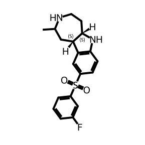 CC1C[C@H]2c3cc(S(=O)(=O)c4cccc(F)c4)ccc3N[C@H]2CCN1